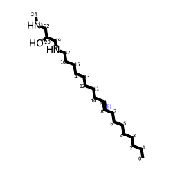 CCCCCCCC/C=C/CCCCCCCCNCC(O)CNC